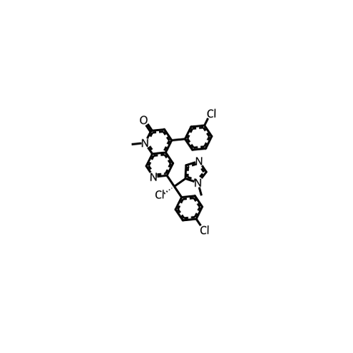 Cn1cncc1[C@@](Cl)(c1ccc(Cl)cc1)c1cc2c(-c3cccc(Cl)c3)cc(=O)n(C)c2cn1